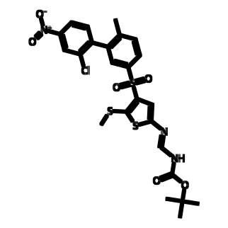 CSc1sc(N=CNC(=O)OC(C)(C)C)cc1S(=O)(=O)c1ccc(C)c(-c2ccc([N+](=O)[O-])cc2Cl)c1